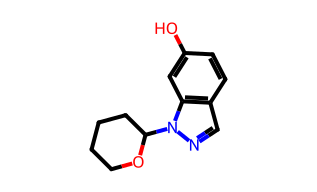 Oc1ccc2cnn(C3CCCCO3)c2c1